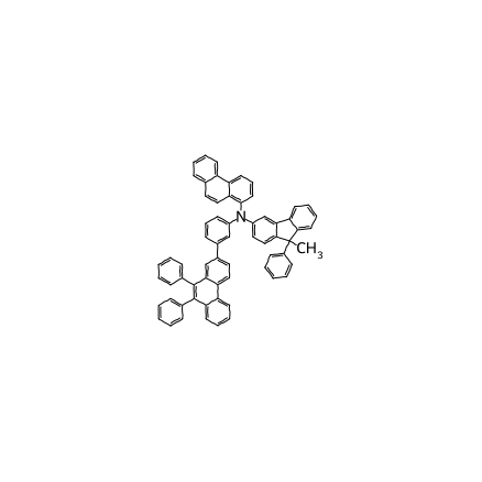 CC1(c2ccccc2)c2ccccc2-c2cc(N(c3cccc(-c4ccc5c(c4)c(-c4ccccc4)c(-c4ccccc4)c4ccccc45)c3)c3cccc4c3ccc3ccccc34)ccc21